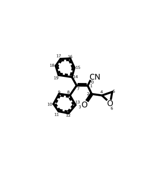 N#CC(C(=O)C1CO1)=C(c1ccccc1)c1ccccc1